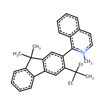 CCC(C)(CC)c1cc2c(cc1-c1c3ccccc3cc[n+]1C)C(C)(C)c1ccccc1-2